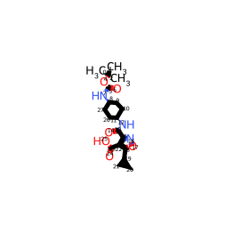 CC(C)(C)OC(=O)N[C@H]1CC[C@H](NC(=O)c2noc(C3CC3)c2C(=O)O)CC1